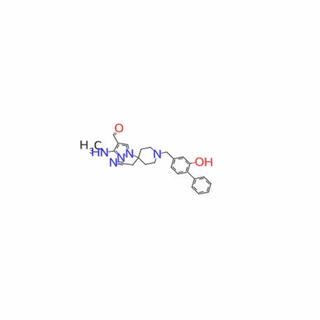 CNc1nn(C2(CC#N)CCN(Cc3ccc(-c4ccccc4)c(O)c3)CC2)cc1C=O